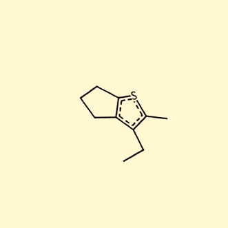 CCc1c(C)sc2c1CCC2